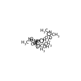 COc1c(OCc2ccc(-c3ccccc3S(=O)(=O)Nc3onc(C)c3C)c(C(C)(C)O)c2)cc(C)nc1C